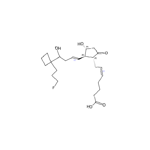 O=C(O)CCC/C=C\C[C@H]1C(=O)C[C@@H](O)[C@@H]1/C=C/CC(O)C1(CCCF)CCC1